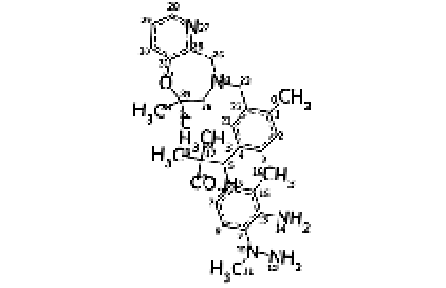 Cc1ccc(C(c2ccc(N(C)N)c(N)c2C)C(C)(C)C(=O)O)cc1CN1Cc2ncccc2OC(C)(C)C1